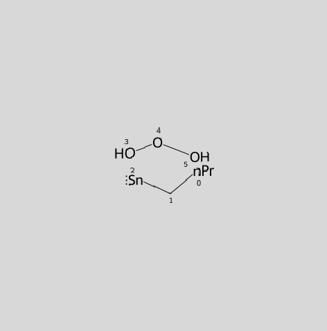 CCC[CH2][Sn].OOO